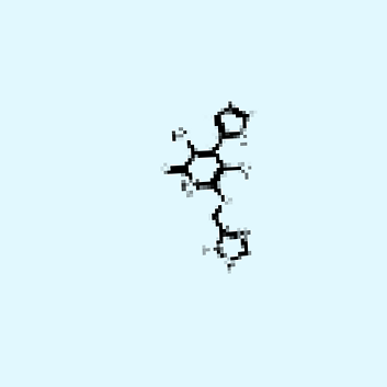 N#Cc1c(SCC2=NCON2)[nH]c(=O)c(C#N)c1-c1cccs1